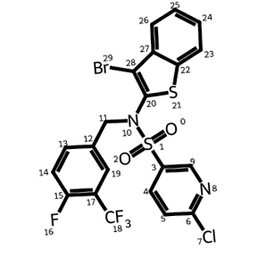 O=S(=O)(c1ccc(Cl)nc1)N(Cc1ccc(F)c(C(F)(F)F)c1)c1sc2ccccc2c1Br